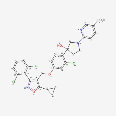 O=C(O)c1ccc(N2CCC(O)(c3ccc(OCc4c(-c5c(Cl)cccc5Cl)noc4C4CC4)cc3Cl)C2)nc1